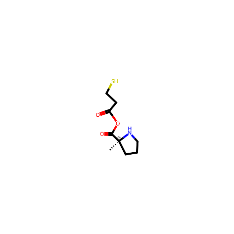 C[C@@]1(C(=O)OC(=O)CCS)CCCN1